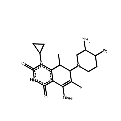 CCC1CCN(C2C(F)=C(OC)c3c(n(C4CC4)c(=O)[nH]c3=O)C2C)CC1N